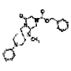 CN1C2CN(C(=O)OCc3ccccc3)CC(=O)N2CC12CCN(c1ccncc1)CC2